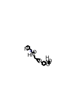 CS(=O)(=O)Nc1cccc(N2CC3C(CCNC(=O)/C=C/c4cccnc4)C3C2)c1